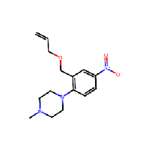 C=CCOCc1cc([N+](=O)[O-])ccc1N1CCN(C)CC1